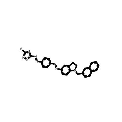 Sc1nnc(N=Nc2ccc(N=Nc3ccc4c(c3)CCN4Cc3ccc4ccccc4c3)cc2)s1